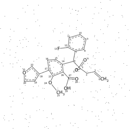 C=CCS(=O)(=O)C(c1ccccc1F)c1ccc(-c2ccoc2)c(OC)c1C(=O)O